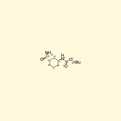 CCCCOC(=O)N[C@H]1CCC[C@H](C(N)=O)C1